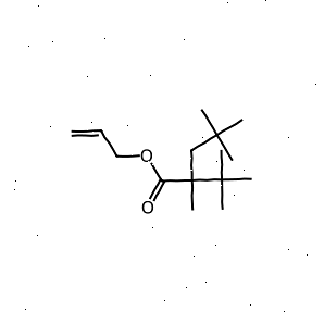 C=CCOC(=O)C(C)(CC(C)(C)C)C(C)(C)C